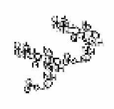 COC(=O)C1CC(CN2CCc3nc(C(=O)Nc4cccc(-c5ccnc(-c6ccc(CN(C[C@@H]7CCC(=O)N7)C(=O)OC(C)(C)C)c(OC)c6)c5Cl)c4Cl)n(C)c3C2)C1.COC(=O)C1CC(CN2CCc3nc(C(=O)Nc4cccc(-c5ccnc(-c6ccc(CN(C[C@@H]7CCC(=O)N7)C(=O)OC(C)(C)C)c(OC)c6)c5Cl)c4Cl)n(C)c3C2)C1